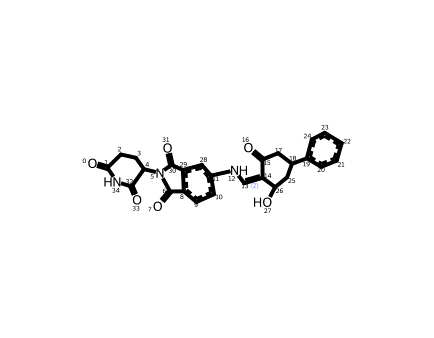 O=C1CCC(N2C(=O)c3ccc(N/C=C4\C(=O)CC(c5ccccc5)CC4O)cc3C2=O)C(=O)N1